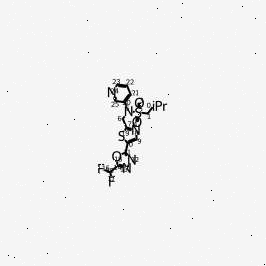 CC(C)CS(=O)(=O)N(Cc1ncc(-c2nnc(C(F)F)o2)s1)c1cccnc1